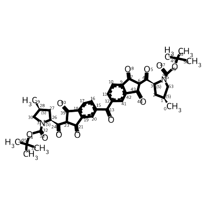 C[C@H]1C[C@@H](C(=O)C2C(=O)c3ccc(C(=O)c4ccc5c(c4)C(=O)C(C(=O)[C@@H]4C[C@H](C)CN4C(=O)OC(C)(C)C)C5=O)cc3C2=O)N(C(=O)OC(C)(C)C)C1